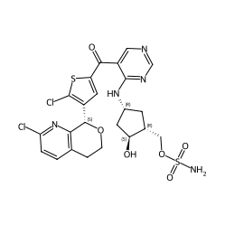 NS(=O)(=O)OC[C@H]1C[C@@H](Nc2ncncc2C(=O)c2cc([C@@H]3OCCc4ccc(Cl)nc43)c(Cl)s2)C[C@@H]1O